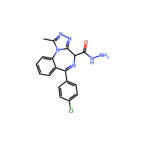 Cc1nnc2n1-c1ccccc1C(c1ccc(Cl)cc1)=NC2C(=O)NN